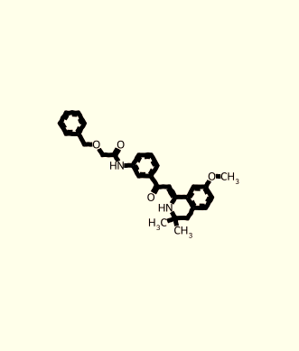 COc1ccc2c(c1)C(=CC(=O)c1cccc(NC(=O)COCc3ccccc3)c1)NC(C)(C)C2